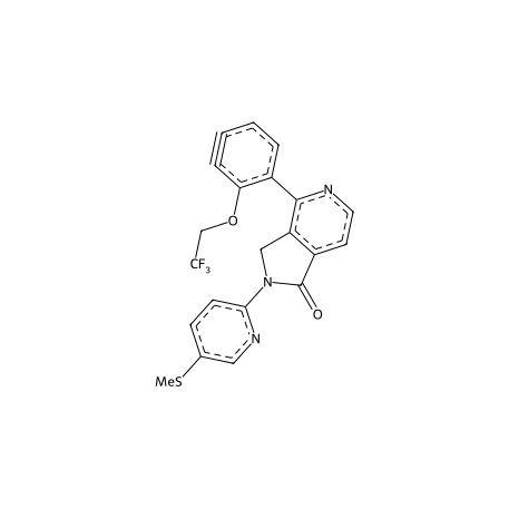 CSc1ccc(N2Cc3c(ccnc3-c3ccc#cc3OCC(F)(F)F)C2=O)nc1